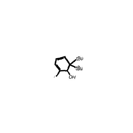 [CH]C1=CC=CC(C(C)(C)C)(C(C)(C)C)C1O